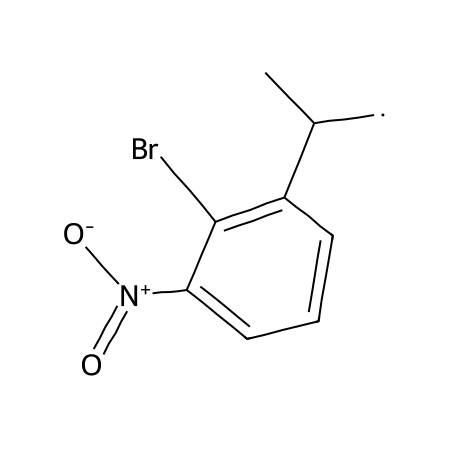 [CH2]C(C)c1cccc([N+](=O)[O-])c1Br